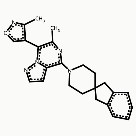 Cc1nocc1-c1c(C)nc(N2CCC3(CC2)Cc2ccccc2C3)c2ccnn12